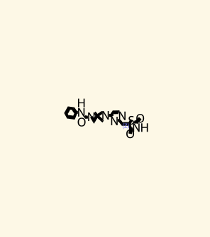 O=C1NC(=O)/C(=C/c2nccc(N3CC4(CN(C(=O)Nc5ccccc5)C4)C3)n2)S1